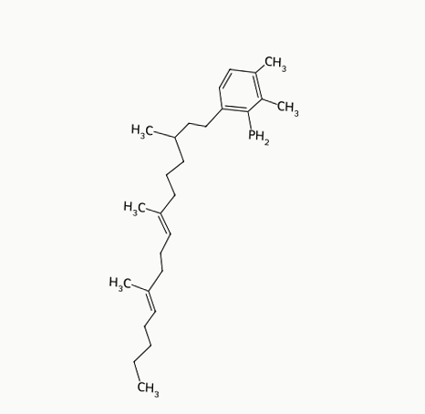 CCCC/C=C(\C)CC/C=C(\C)CCCC(C)CCc1ccc(C)c(C)c1P